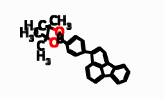 CC1(C)OB(c2ccc(-c3ccc4c5c(cccc35)-c3ccccc3-4)cc2)OC1(C)C